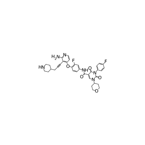 Nc1nccc(Oc2ccc(NC(=O)c3cn(C4CCOCC4)c(=O)n(-c4ccc(F)cc4)c3=O)cc2F)c1C#CCC1CCNCC1